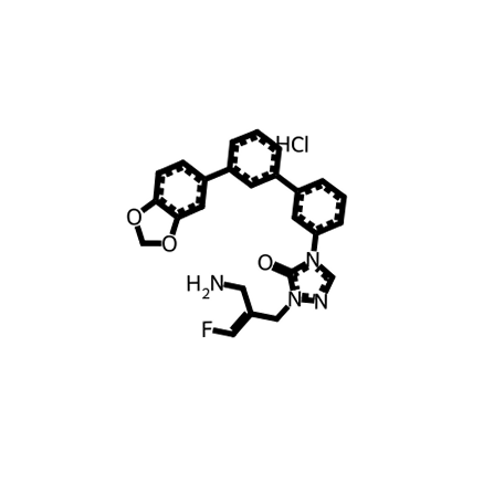 Cl.NC/C(=C\F)Cn1ncn(-c2cccc(-c3cccc(-c4ccc5c(c4)OCO5)c3)c2)c1=O